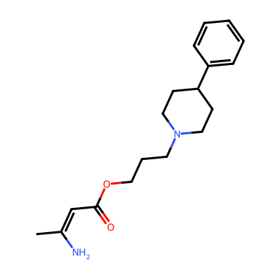 CC(N)=CC(=O)OCCCN1CCC(c2ccccc2)CC1